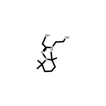 CC1(C)CCCC(C)(C)N1N=C(CO)NCCO